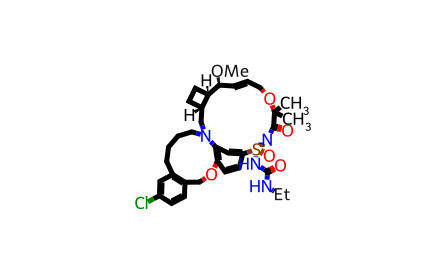 CCNC(=O)NS1(=O)=NC(=O)C(C)(C)OC/C=C/[C@H](OC)[C@@H]2CC[C@H]2CN2CCCCc3cc(Cl)ccc3COc3ccc1cc32